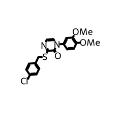 COc1ccc(-n2ccnc(SCc3ccc(Cl)cc3)c2=O)cc1OC